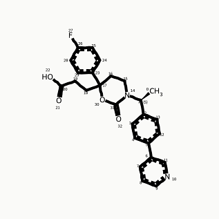 C[C@@H](c1ccc(-c2cccnc2)cc1)N1CCC(CCC(=O)O)(c2ccc(F)cc2)OC1=O